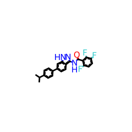 CC(C)c1ccc(-c2ccc3c(NC(=O)c4c(F)ccc(F)c4F)n[nH]c3c2)cc1